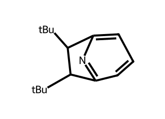 CC(C)(C)C1c2cccc(n2)C1C(C)(C)C